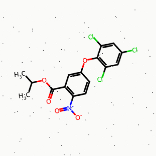 CC(C)OC(=O)c1cc(Oc2c(Cl)cc(Cl)cc2Cl)ccc1[N+](=O)[O-]